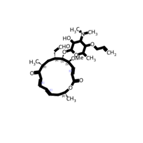 C=CCOC1C(C)OC(O[C@H]2[C@@H](CC=O)C[C@@H](C)C(=O)/C=C/C=C/C[C@@H](C)OC(=O)/C=C/[C@@H]2OC)C(O)C1N(C)C